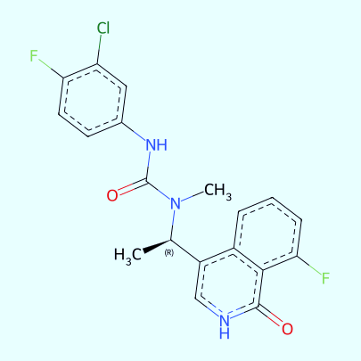 C[C@H](c1c[nH]c(=O)c2c(F)cccc12)N(C)C(=O)Nc1ccc(F)c(Cl)c1